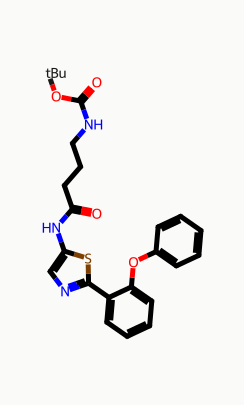 CC(C)(C)OC(=O)NCCCC(=O)Nc1cnc(-c2ccccc2Oc2ccccc2)s1